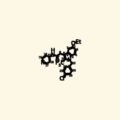 CCOc1ccc2c(c1)c(CC(=O)Nc1ccncc1)c(C(F)(F)F)n2Cc1ccc(Cl)cc1